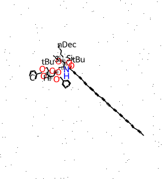 CC#CC#CC#CC#CC#CC#CC#CC#CC#CC#CC#CC#CC(=O)N[C@@H](CO[C@H]1OC2COC(c3ccccc3)O[C@@H]2[C@H](C)C1OCc1ccccc1)[C@H](O[Si](C)(C)C(C)(C)C)[C@@H](CCCCCCCCCCCCCC)O[Si](C)(C)C(C)(C)C